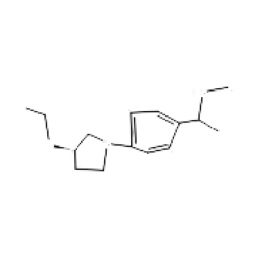 CCO[C@@H]1CCN(c2ccc(C(C)NC)cc2)C1